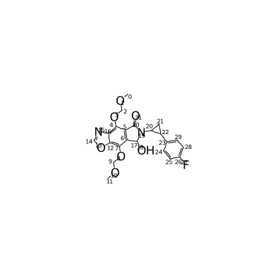 COCOc1c2c(c(OCOC)c3ocnc13)C(O)N(C1CC1c1ccc(F)cc1)C2=O